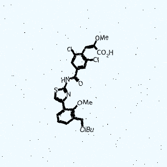 CO/C(=C/c1c(Cl)cc(C(=O)Nc2nc(-c3cccc(COCC(C)C)c3OC)cs2)cc1Cl)C(=O)O